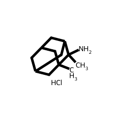 CC12CC3CC(CC(C3)C1(C)N)C2.Cl